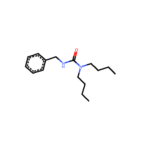 CCCCN(CCCC)C(=O)NCc1ccccc1